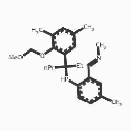 CCCC(CC)(Pc1ccc(C)cc1/C=N/C)c1cc(C)cc(C)c1OCOC